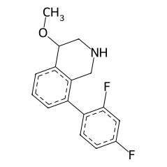 COC1CNCc2c(-c3ccc(F)cc3F)cccc21